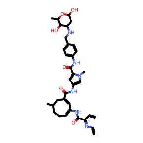 C=C/N=C(\C=C)C(=O)NC1=C/CCC(C)C/C(C(=O)Nc2cc(C(=O)Nc3ccc(CNC4CC(O)OC(C)C4O)cc3)n(C)c2)=C\1